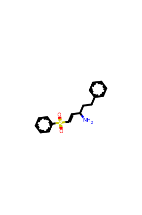 NC(C=CS(=O)(=O)c1ccccc1)CCc1ccccc1